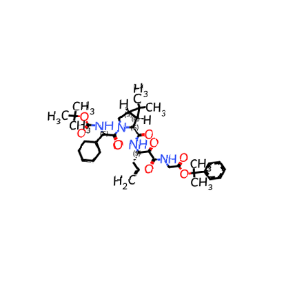 C=CC[C@H](NC(=O)[C@@H]1[C@@H]2[C@H](CN1C(=O)[C@@H](NC(=O)OC(C)(C)C)C1CCCCC1)C2(C)C)C(=O)C(=O)NCC(=O)OC(C)(C)c1ccccc1